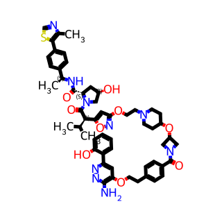 Cc1ncsc1-c1ccc([C@H](C)NC(=O)[C@@H]2C[C@@H](O)CN2C(=O)[C@@H](c2cc(OCCN3CCC(OC4CN(C(=O)c5ccc(CCOc6cc(-c7ccccc7O)nnc6N)cc5)C4)CC3)no2)C(C)C)cc1